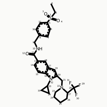 CCS(=O)(=O)c1ccc(CNC(=O)c2ccc3c(c2)cc(CN2CCCCC2C(F)(F)F)n3C2CC2)cc1